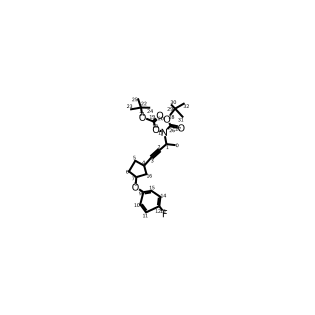 CC(C#CC1CCC(Oc2ccc(F)cc2)C1)N(OC(=O)OC(C)(C)C)C(=O)OC(C)(C)C